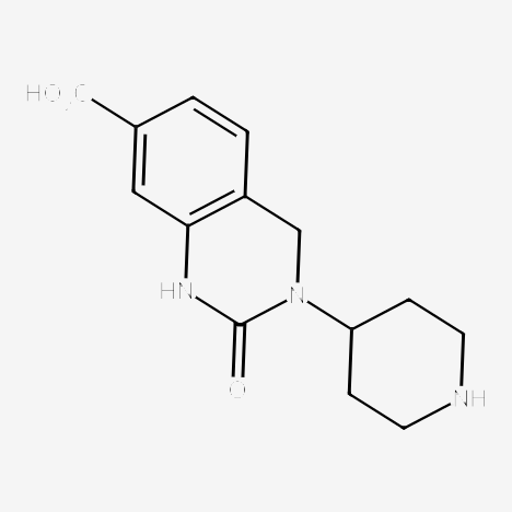 O=C(O)c1ccc2c(c1)NC(=O)N(C1CCNCC1)C2